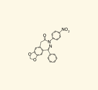 O=C1Cc2cc3c(cc2C(c2ccccc2)=NN1c1ccc([N+](=O)[O-])cc1)OCO3